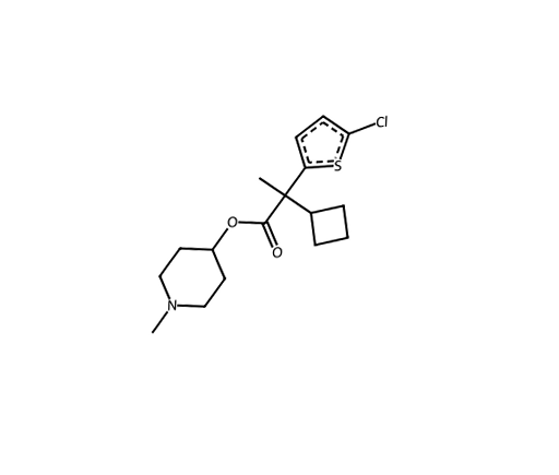 CN1CCC(OC(=O)C(C)(c2ccc(Cl)s2)C2CCC2)CC1